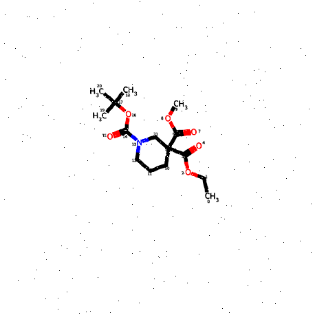 CCOC(=O)C1(C(=O)OC)CCCN(C(=O)OC(C)(C)C)C1